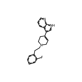 Fc1ccccc1CCN1CC=C(c2c[nH]c3ncccc23)CC1